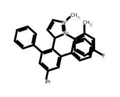 Cc1cc(F)ccc1[N+]1=[N+](C)C=CC1c1c(-c2ccccc2)cc(C(C)C)cc1-c1ccccc1